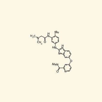 CNC(=O)c1cc(Oc2ccc3[nH]c(Nc4ccc(C(C)(C)C)c(NC(=O)CN(C)C)c4)nc3c2)ccn1